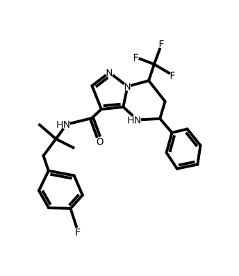 CC(C)(Cc1ccc(F)cc1)NC(=O)c1cnn2c1NC(c1ccccc1)CC2C(F)(F)F